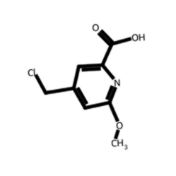 COc1cc(CCl)cc(C(=O)O)n1